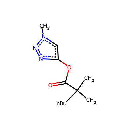 CCCCC(C)(C)C(=O)Oc1cn(C)nn1